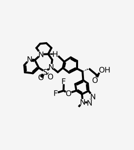 Cc1ccc([C@H](CC(=O)O)c2cc(OC(F)F)c3c(c2)nnn3C)cc1CN1C[C@H]2CCCCN2c2ncccc2S1(=O)=O